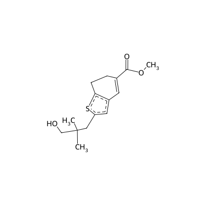 COC(=O)C1=Cc2cc(CC(C)(C)CO)sc2CC1